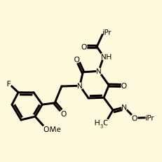 COc1ccc(F)cc1C(=O)Cn1cc(/C(C)=N/OC(C)C)c(=O)n(NC(=O)C(C)C)c1=O